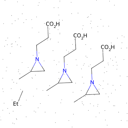 CC1CN1CCC(=O)O.CC1CN1CCC(=O)O.CC1CN1CCC(=O)O.CCC